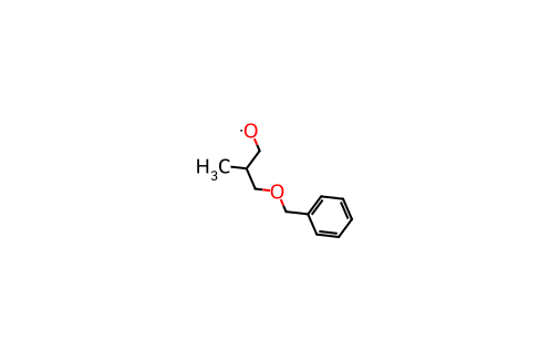 CC(C[O])COCc1ccccc1